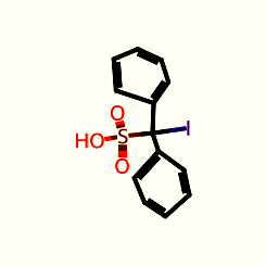 O=S(=O)(O)C(I)(c1ccccc1)c1ccccc1